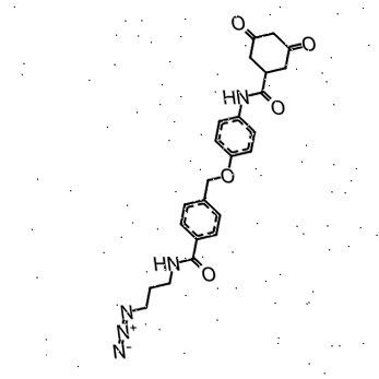 [N-]=[N+]=NCCCNC(=O)c1ccc(COc2ccc(NC(=O)C3CC(=O)CC(=O)C3)cc2)cc1